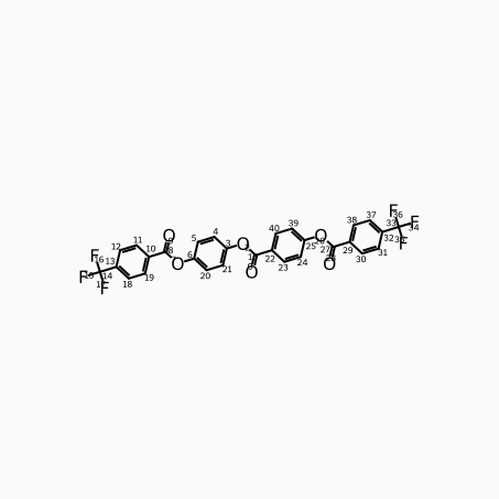 O=C(Oc1ccc(OC(=O)c2ccc(C(F)(F)F)cc2)cc1)c1ccc(OC(=O)c2ccc(C(F)(F)F)cc2)cc1